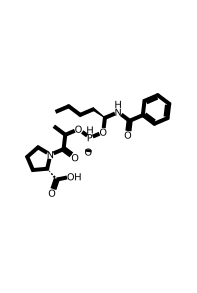 CCCC[C@@H](NC(=O)c1ccccc1)O[PH](=O)OC(C)C(=O)N1CCC[C@H]1C(=O)O